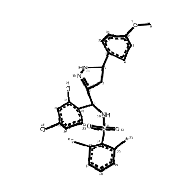 COc1ccc(C2CC(C(NS(=O)(=O)c3c(F)cccc3F)c3ccc(Cl)cc3Cl)=NN2)cc1